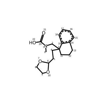 CN(CC1(CCC2OCCO2)CCCc2ccccc21)C(=O)O